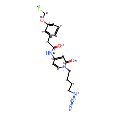 [N-]=[N+]=NCCCCn1ccc(NC(=O)Cc2cccc(OCF)c2)cc1=O